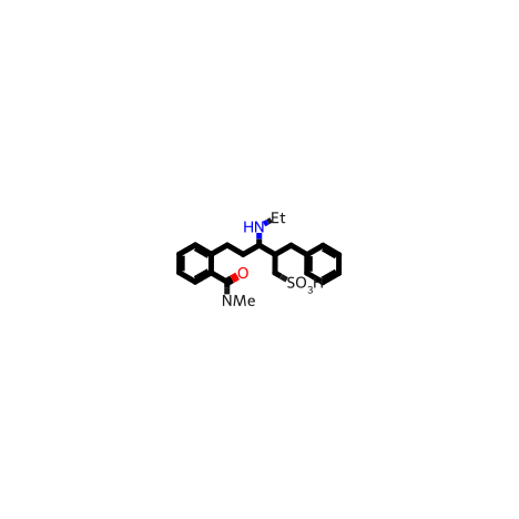 CCNC(CCc1ccccc1C(=O)NC)C(Cc1ccccc1)CS(=O)(=O)O